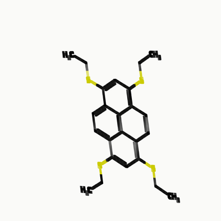 CCSc1cc(SCC)c2ccc3c(SCC)cc(SCC)c4ccc1c2c43